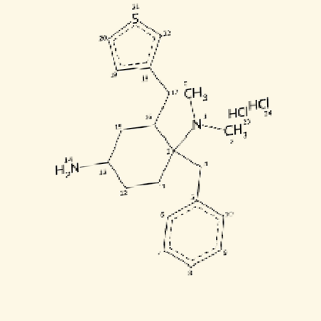 CN(C)C1(Cc2ccccc2)CCC(N)CC1Cc1ccsc1.Cl.Cl